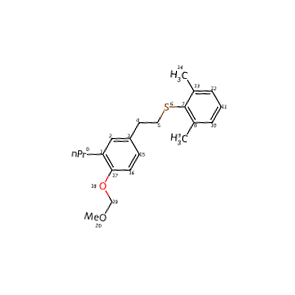 CCCc1cc(CCSc2c(C)cccc2C)ccc1OCOC